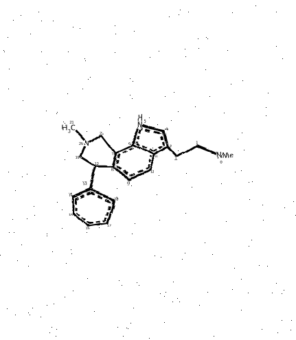 CNCCc1c[nH]c2c3c(ccc12)C(c1ccccc1)CN(C)C3